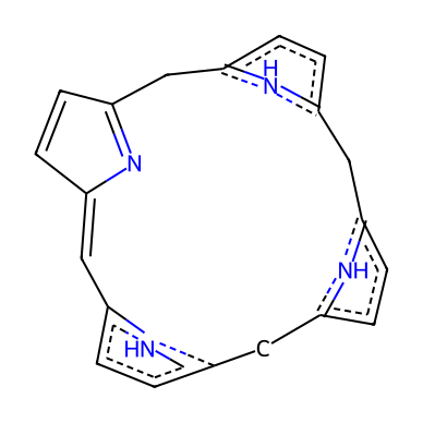 C1=C/C2=C/c3ccc([nH]3)Cc3ccc([nH]3)Cc3ccc([nH]3)CC1=N2